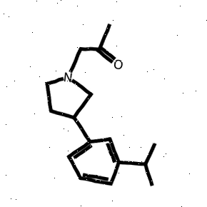 CC(=O)CN1CCC(c2cccc(C(C)C)c2)C1